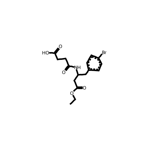 CCOC(=O)CC(Cc1ccc(Br)cc1)NC(=O)CCC(=O)O